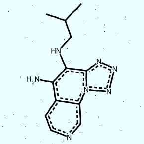 CC(C)CNc1c(N)c2ccncc2n2nnnc12